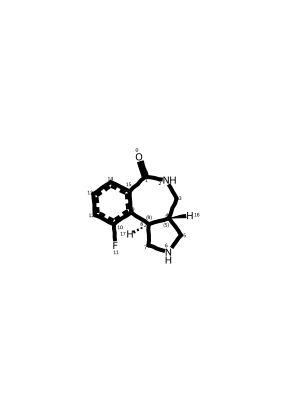 O=C1NC[C@@H]2CNC[C@H]2c2c(F)cccc21